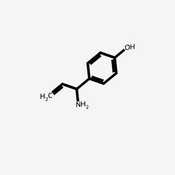 C=CC(N)c1ccc(O)cc1